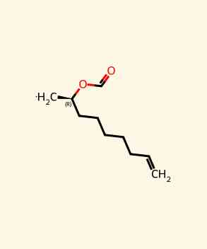 [CH2][C@H](CCCCCC=C)OC=O